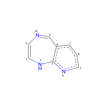 C1=CNc2ncccc2C=N1